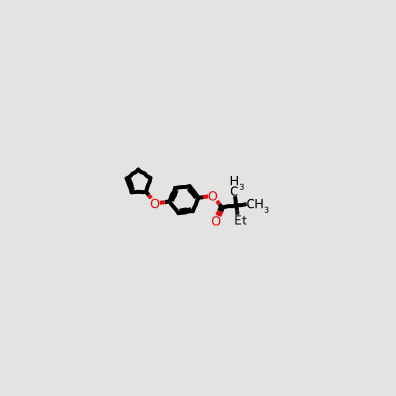 CCC(C)(C)C(=O)Oc1ccc(OC2C=CCC2)cc1